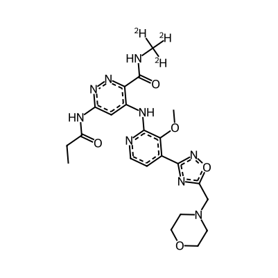 [2H]C([2H])([2H])NC(=O)c1nnc(NC(=O)CC)cc1Nc1nccc(-c2noc(CN3CCOCC3)n2)c1OC